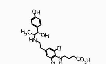 C[C@H](NCCc1cc(Cl)c(NCCCC(=O)O)c(Cl)c1)[C@@H](O)c1ccc(O)cc1